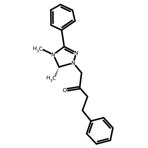 C[C@H]1N(CC(=O)CCc2ccccc2)N=C(c2ccccc2)N1C